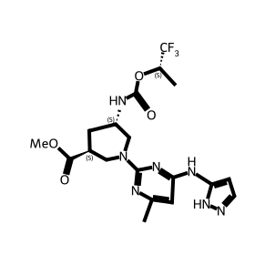 COC(=O)[C@H]1C[C@H](NC(=O)O[C@@H](C)C(F)(F)F)CN(c2nc(C)cc(Nc3ccn[nH]3)n2)C1